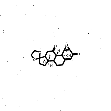 C[C@@]12C(=CC(=O)C3O[C@@H]31)CC[C@@H]1[C@@H]2C(=O)C[C@@]2(C)[C@H]1CCC21OCCO1